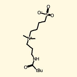 CC(C)(C)C(=O)NCCC[N+](C)(C)CCCCS(=O)(=O)[O-]